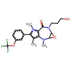 Cc1c2c(n(C)c1-c1cccc(OC(F)(F)F)c1)C(=O)N(CCCO)C1OC1N2C